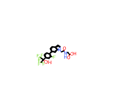 O=C(O)CNC(=O)Cn1ccc2ccc(-c3ccc(C(O)(C(F)(F)F)C(F)(F)F)cc3F)cc21